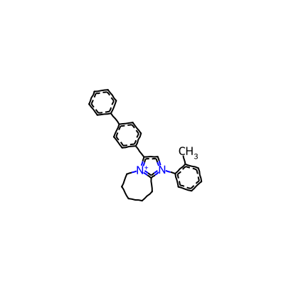 Cc1ccccc1-n1cc(-c2ccc(-c3ccccc3)cc2)[n+]2c1CCCCC2